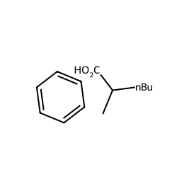 CCCCC(C)C(=O)O.c1ccccc1